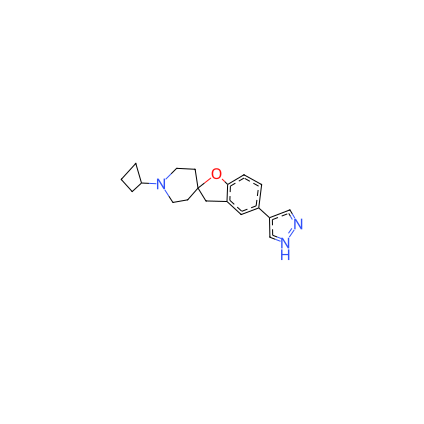 c1cc2c(cc1-c1cn[nH]c1)CC1(CCN(C3CCC3)CC1)O2